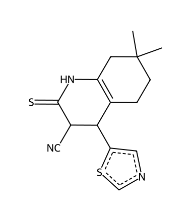 CC1(C)CCC2=C(C1)NC(=S)C(C#N)C2c1cncs1